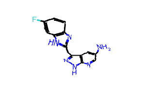 Nc1cnc2[nH]nc(-c3nc4ccc(F)cc4[nH]3)c2c1